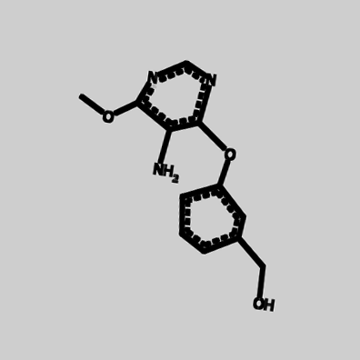 COc1ncnc(Oc2cccc(CO)c2)c1N